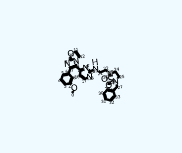 COc1cccc(-c2nc3occn3c2-c2ccnc(NCCN3CCN(Cc4ccccc4)S3(=O)=O)n2)c1